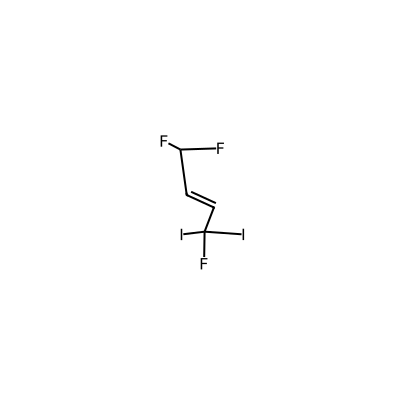 FC(F)C=CC(F)(I)I